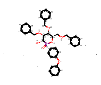 O=[P@@]1(c2ccc(Oc3ccccc3)cc2)O[C@H](COCc2ccccc2)[C@@H](OCc2ccccc2)[C@H](OCc2ccccc2)[C@H]1O